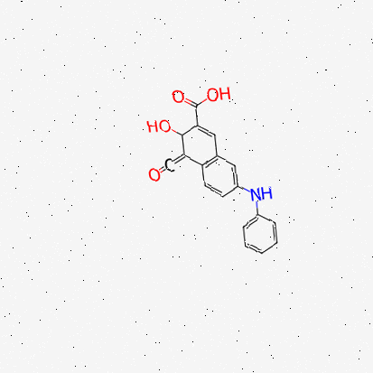 O=C=C1c2ccc(Nc3ccccc3)cc2C=C(C(=O)O)C1O